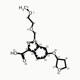 COCCOCn1nc(C(=O)O)c2ccc(OC3CCOC3)cc21